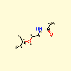 CC(C)C(=O)NCCO[C@H](C)C(C)C